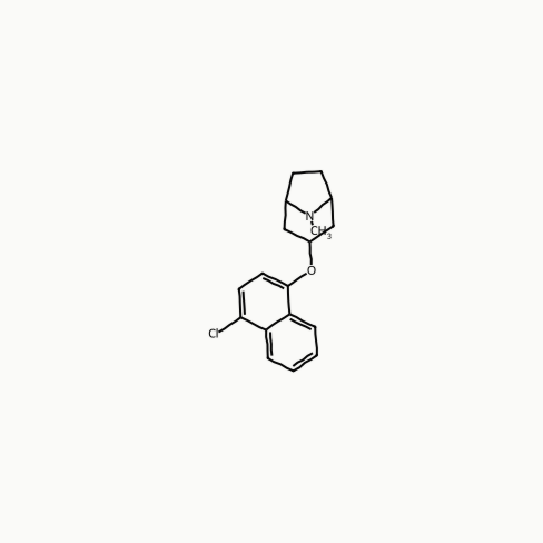 CN1C2CCC1CC(Oc1ccc(Cl)c3ccccc13)C2